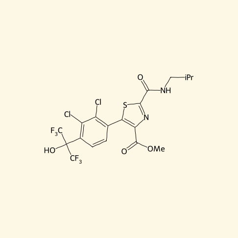 COC(=O)c1nc(C(=O)NCC(C)C)sc1-c1ccc(C(O)(C(F)(F)F)C(F)(F)F)c(Cl)c1Cl